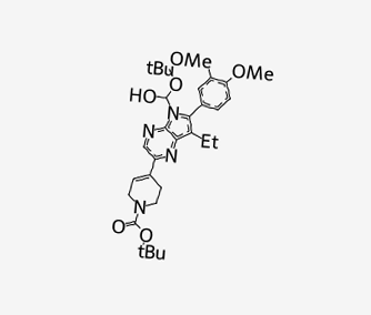 CCc1c(-c2ccc(OC)c(OC)c2)n(C(O)OC(C)(C)C)c2ncc(C3=CCN(C(=O)OC(C)(C)C)CC3)nc12